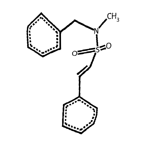 CN(Cc1ccccc1)S(=O)(=O)C=Cc1ccccc1